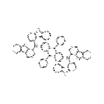 c1ccc(-c2c3ccc(N(c4cccc5c4oc4ccccc45)c4cccc5oc6ccccc6c45)cc3c(-c3ccccc3)c3ccc(N(c4cccc5c4oc4ccccc45)c4cccc5oc6ccccc6c45)cc23)cc1